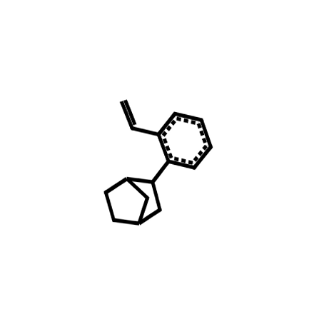 C=Cc1ccccc1C1CC2CCC1C2